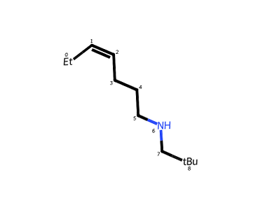 CC/C=C\CCCNCC(C)(C)C